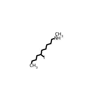 CCCCC(I)CCCCCNC